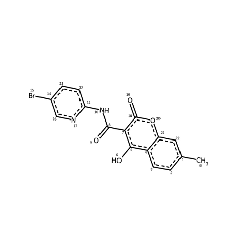 Cc1ccc2c(O)c(C(=O)Nc3ccc(Br)cn3)c(=O)oc2c1